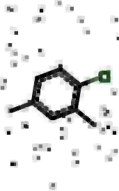 Cc1c[c]c(Cl)c(C)c1